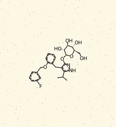 CC(C)c1[nH]nc(O[C@@H]2O[C@H](CO)[C@@H](O)[C@H](O)[C@H]2O)c1Cc1ccccc1OCc1cccc(F)c1